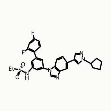 CCS(=O)(=O)Nc1cc(-c2ccc(F)cc2F)cc(-n2cnc3cc(-c4cnn(C5CCCC5)c4)ccc32)c1